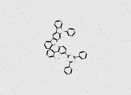 O=[N+]([O-])c1ccccc1-c1cc(-c2nc(-c3ccccc3)nc(-c3ccccc3)n2)ccc1-n1c2ccccc2c2cc3c4ccccc4n(-c4ccccc4)c3cc21